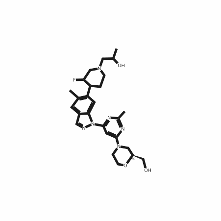 Cc1nc(N2CCO[C@H](CO)C2)cc(-n2ncc3cc(C)c(C4CCN(CC(C)O)CC4F)cc32)n1